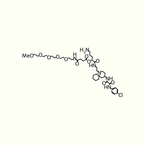 COCCOCCOCCOCCOCCNC(=O)CCC(=O)OC(CCCN)C(=O)NCCN1CCC(NC(=O)C(=O)Nc2ccc(Cl)cc2)CC12CCCCC2